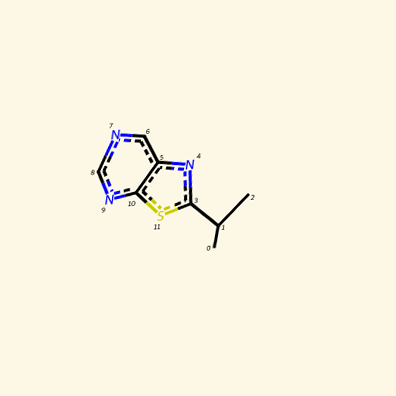 CC(C)c1nc2cncnc2s1